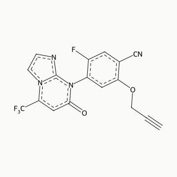 C#CCOc1cc(-n2c(=O)cc(C(F)(F)F)n3ccnc23)c(F)cc1C#N